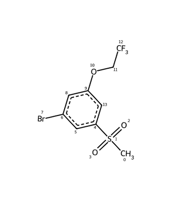 CS(=O)(=O)c1cc(Br)cc(OCC(F)(F)F)c1